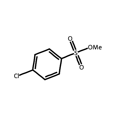 [CH2]OS(=O)(=O)c1ccc(Cl)cc1